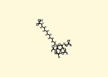 CC(=O)N[C@H]1[C@H](OCCCCCCCCCCCC(=O)O)O[C@H](COC(C)=O)[C@H](OC(C)=O)[C@@H]1OC(C)=O